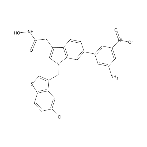 Nc1cc(-c2ccc3c(CC(=O)NO)cn(Cc4csc5ccc(Cl)cc45)c3c2)cc([N+](=O)[O-])c1